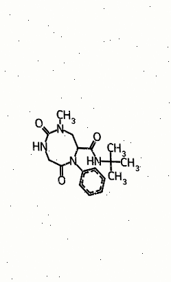 CN1CC(C(=O)NC(C)(C)C)N(c2ccccc2)C(=O)CNC1=O